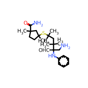 CC(C)(CC(C)(C)C(C=O)(CN)Nc1ccccc1)SC1(C)CCC(C)(C(N)=O)C1